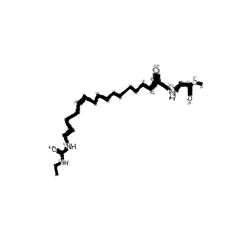 CCNC(=O)NCCCC/C=C\CCCCCCCCCC(=O)NCC(=O)OC